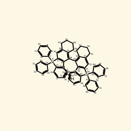 O=P1(O)Oc2c([Si](c3ccccc3)(c3ccccc3)c3ccccc3)cc3c(c2-c2c4c(cc([Si](c5ccccc5)(c5ccccc5)c5ccccc5)c2O1)CCCC4)CCCC3